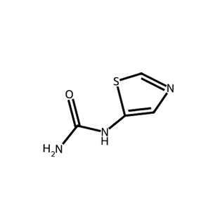 NC(=O)Nc1cncs1